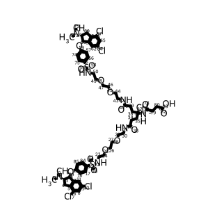 CN(C)[C@@H]1Cc2c(Cl)cc(Cl)cc2[C@@H]1Oc1ccc(S(=O)(=O)NCCOCCOCCNC(=O)CCC(C)(CCC(=O)NCCOCCOCCNS(=O)(=O)c2ccc(O[C@H]3c4cc(Cl)cc(Cl)c4C[C@H]3N(C)C)cc2)NC(=O)CCC(=O)O)cc1